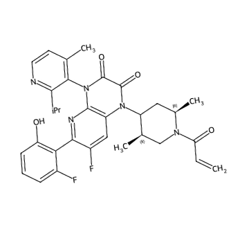 C=CC(=O)N1C[C@@H](C)C(n2c(=O)c(=O)n(-c3c(C)ccnc3C(C)C)c3nc(-c4c(O)cccc4F)c(F)cc32)C[C@H]1C